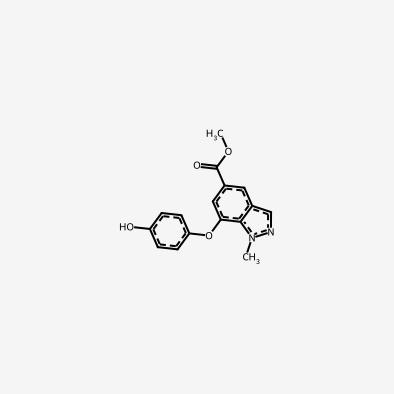 COC(=O)c1cc(Oc2ccc(O)cc2)c2c(cnn2C)c1